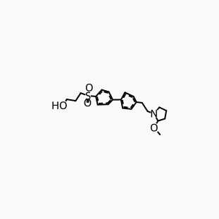 COC1CCCN1CCc1ccc(-c2ccc(S(=O)(=O)CCCO)cc2)cc1